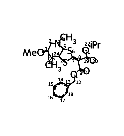 COC1CN(C)C2SC(=C(C(=O)OCc3ccccc3)C(=O)OC(C)C)SC2N1C